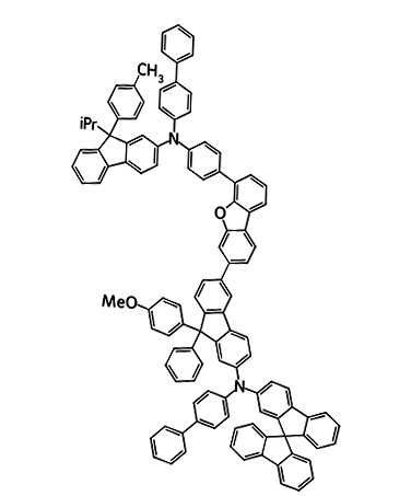 COc1ccc(C2(c3ccccc3)c3ccc(-c4ccc5c(c4)oc4c(-c6ccc(N(c7ccc(-c8ccccc8)cc7)c7ccc8c(c7)C(c7ccc(C)cc7)(C(C)C)c7ccccc7-8)cc6)cccc45)cc3-c3ccc(N(c4ccc(-c5ccccc5)cc4)c4ccc5c(c4)C4(c6ccccc6-c6ccccc64)c4ccccc4-5)cc32)cc1